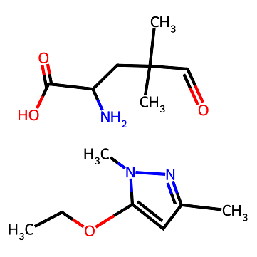 CC(C)(C=O)CC(N)C(=O)O.CCOc1cc(C)nn1C